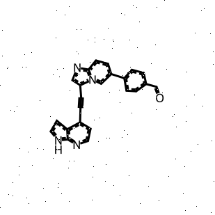 O=Cc1ccc(-c2ccc3ncc(C#Cc4ccnc5[nH]ccc45)n3c2)cc1